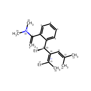 C=C(c1ccccc1[C@H](CC)/C(C=C(C)C)=C(/C)CC)N(C)C